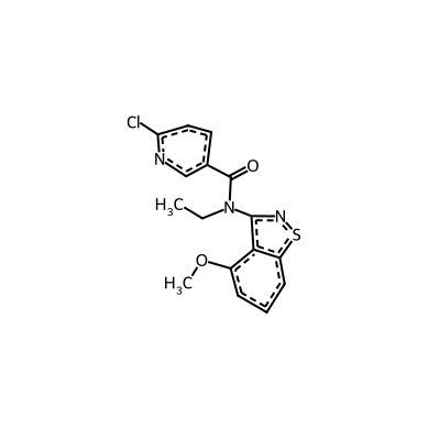 CCN(C(=O)c1ccc(Cl)nc1)c1nsc2cccc(OC)c12